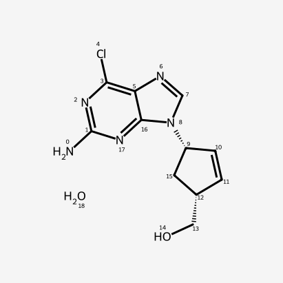 Nc1nc(Cl)c2ncn([C@@H]3C=C[C@H](CO)C3)c2n1.O